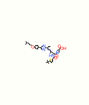 C=C/C(=C\C=C(/C)C[C@H](NC(=O)c1ccc(C(C)(C)C)s1)C(=O)N1CC(C(=O)O)C1)c1ncc(-c2ccc(OCCCC(C)C)cc2)cn1